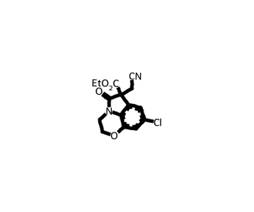 CCOC(=O)C1(CC#N)C(=O)N2CCOc3cc(Cl)cc1c32